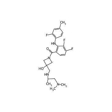 Cc1ccc(Nc2c(C(=O)N3CC(O)(CNC(C)CN(C)C)C3)ccc(F)c2F)c(F)c1